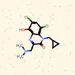 CN(C)Cc1nc2c(O)c(Cl)cc(Cl)c2n(CC2CC2)c1=O